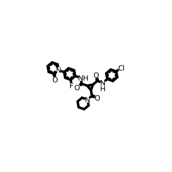 O=C(Nc1ccc(Cl)cc1)C1C(C(=O)Nc2ccc(-n3ccccc3=O)cc2F)C1C(=O)N1CCCCC1